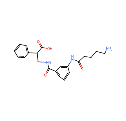 NCCCCC(=O)Nc1cccc(C(=O)NCC(C(=O)O)c2ccccc2)c1